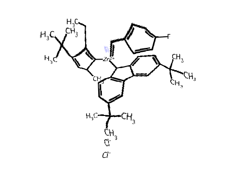 CCC1=[C](/[Zr+2](=[CH]/c2ccc(F)cc2)[CH]2c3ccc(C(C)(C)C)cc3-c3cc(C(C)(C)C)ccc32)C(C)C=C1C(C)(C)C.[Cl-].[Cl-]